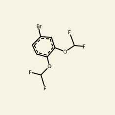 FC(F)Oc1ccc(Br)cc1OC(F)F